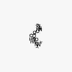 CC(C)c1nc(NC(=O)N[C@H]2CC[C@@H](Oc3ccc4nnc(C5(C)CCCN5C)n4c3)c3ccccc32)cc(C(C)(C)C)n1